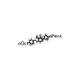 CCCCCCCCc1ccc(CCc2ccc(-c3ccc(CCCCC)cc3)c(F)c2F)cc1